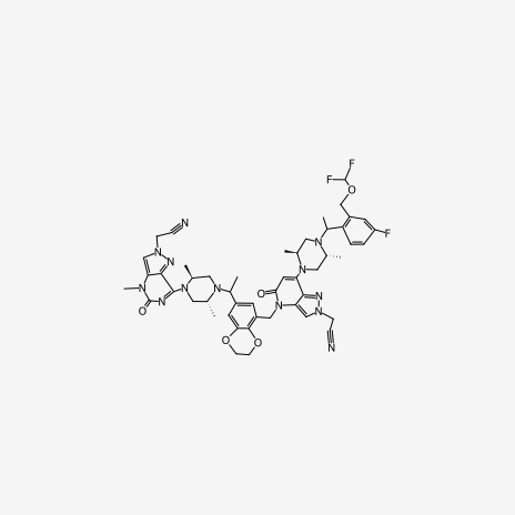 CC(c1cc(Cn2c(=O)cc(N3C[C@@H](C)N(C(C)c4ccc(F)cc4COC(F)F)C[C@@H]3C)c3nn(CC#N)cc32)c2c(c1)OCCO2)N1C[C@H](C)N(c2nc(=O)n(C)c3cn(CC#N)nc23)C[C@H]1C